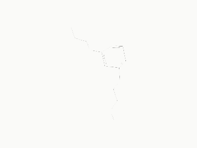 CCCOc1cccc(OCCOC)c1